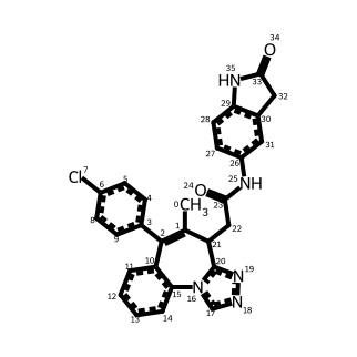 CC1=C(c2ccc(Cl)cc2)c2ccccc2-n2cnnc2C1CC(=O)Nc1ccc2c(c1)CC(=O)N2